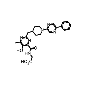 Cc1nc(CC2CCN(c3cnc(-c4ccccc4)cn3)CC2)nc(C(=O)NCC(=O)O)c1O